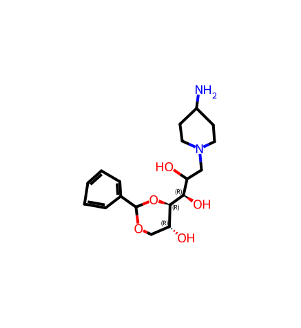 NC1CCN(CC(O)[C@@H](O)[C@@H]2OC(c3ccccc3)OC[C@H]2O)CC1